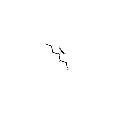 C=O.OCCOCCO